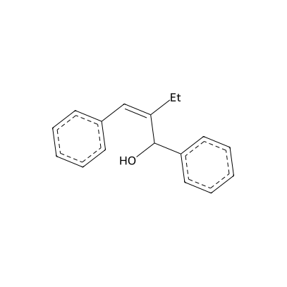 CCC(=Cc1ccccc1)C(O)c1ccccc1